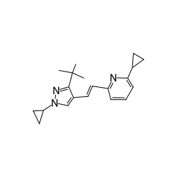 CC(C)(C)c1nn(C2CC2)cc1/C=C/c1cccc(C2CC2)n1